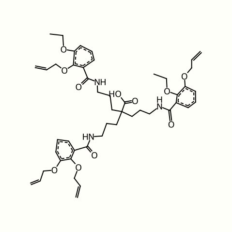 C=CCOc1cccc(C(=O)NCCCC(CCCNC(=O)c2cccc(OCC)c2OCC=C)(CCCNC(=O)c2cccc(OCC=C)c2OCC=C)C(=O)O)c1OCC